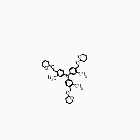 Cc1cc(N(c2ccc(COC3CCCCO3)c(C)c2)c2ccc(COC3CCCCO3)c(C)c2)ccc1COC1CCCCO1